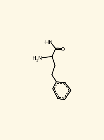 [NH]C(=O)C(N)CCc1ccccc1